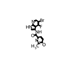 Cn1nc(C(=O)Nc2c[nH]c3ncc(Br)c(F)c23)ccc1=O